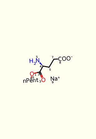 CCCCCOC(=O)[C@@H](N)CCC(=O)[O-].[Na+]